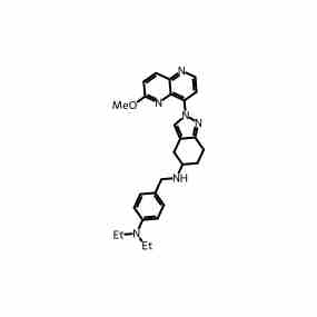 CCN(CC)c1ccc(CNC2CCc3nn(-c4ccnc5ccc(OC)nc45)cc3C2)cc1